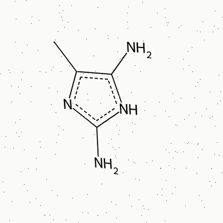 Cc1nc(N)[nH]c1N